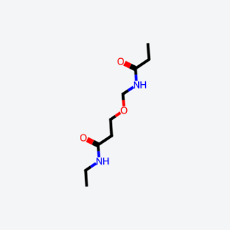 CCNC(=O)CCOCNC(=O)CC